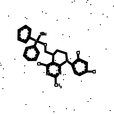 Cc1nc(Cl)c2c(n1)N(c1ccc(Cl)cc1Cl)CCC2CO[Si](c1ccccc1)(c1ccccc1)C(C)(C)C